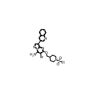 CCS(=O)(=O)N1CCC(COc2nc3c(-c4cnc5ccccc5c4)cnn3c(N)c2Br)CC1